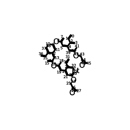 C=CC(=C)C(=C\C(=C)O/C(C)=C/C(=C/C(=C)O/C(C)=C/C(=C/C(=C)OCC1CO1)C(/C=C)=C\CC)C(/C=C)=C\C)/C=C(\C)OCC1CO1